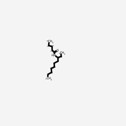 CCCCCCCC(CC)NC(=O)CCCC